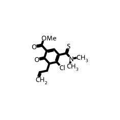 C=CCC1C(=O)C(C(=O)OC)=CC(C(=S)N(C)C)=C1Cl